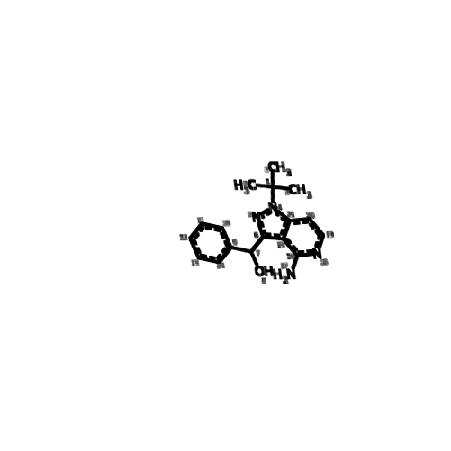 CC(C)(C)n1nc(C(O)c2ccccc2)c2c(N)nccc21